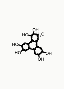 O.Oc1cc2c(cc1O)c1ccc(O)c(O)c1c1cc(O)c(O)cc21